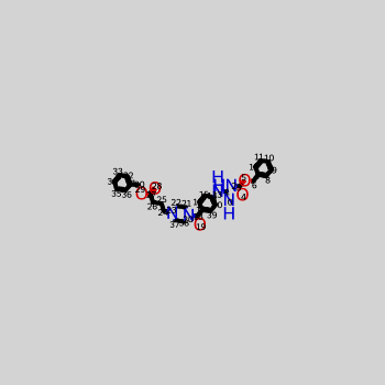 N=C(NC(=O)OCc1ccccc1)Nc1ccc(C(=O)N2CCN(CCCC(=O)OCc3ccccc3)CC2)cc1